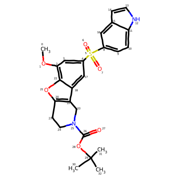 COc1cc(S(=O)(=O)c2ccc3[nH]ccc3c2)cc2c3c(oc12)CCN(C(=O)OC(C)(C)C)C3